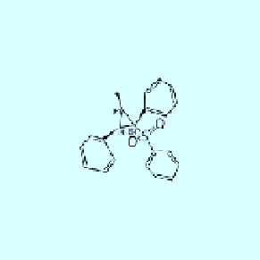 C[C@@H]1[C@H](c2ccccc2)[C@@]1(c1ccccc1)S(=O)(=O)c1ccccc1